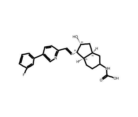 O=C(O)NC1CC[C@@H]2[C@H](C1)C[C@@H](O)[C@H]2C=Cc1ccc(-c2cccc(F)c2)cn1